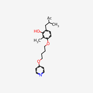 CC(=O)C(C)Cc1ccc(OCCCCOc2ccncc2)c(C)c1O